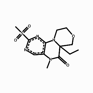 CCC12COCCN1c1nc(S(C)(=O)=O)ncc1N(C)C2=O